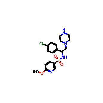 CC(C)Oc1ccc(S(=O)(=O)NC(CN2CCNCC2)c2ccc(Cl)cc2)cn1